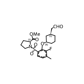 COC(=O)[C@@H]1CCCN1S(=O)(=O)c1ccc(C)c(F)c1O[C@@H]1CCC[C@H](CC=O)C1